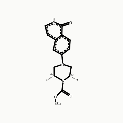 C[C@@H]1CN(c2ccc3c(=O)[nH]ccc3c2)C[C@H](C)N1C(=O)OC(C)(C)C